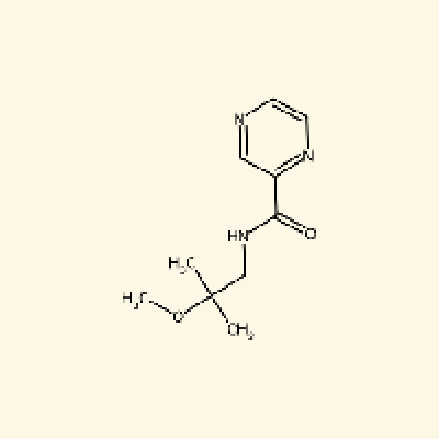 COC(C)(C)CNC(=O)c1cnccn1